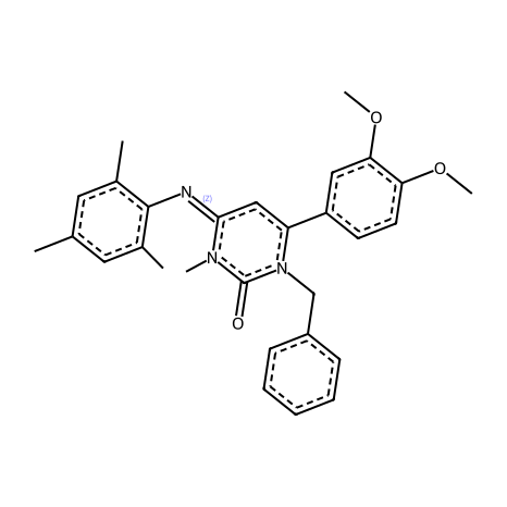 COc1ccc(-c2c/c(=N/c3c(C)cc(C)cc3C)n(C)c(=O)n2Cc2ccccc2)cc1OC